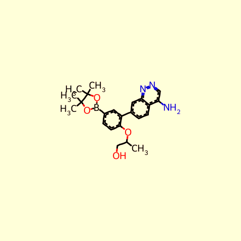 CC(CO)Oc1ccc(B2OC(C)(C)C(C)(C)O2)cc1-c1ccc2c(N)cnnc2c1